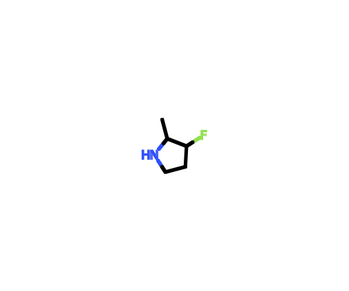 CC1NCCC1F